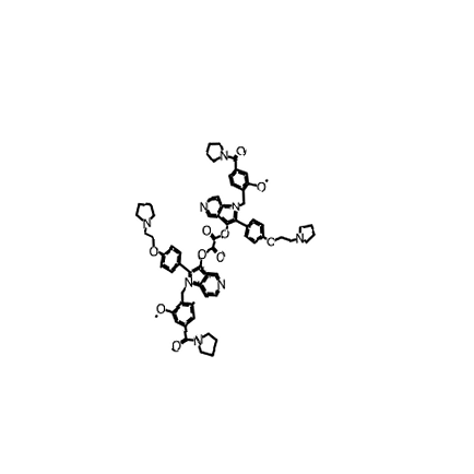 COc1cc(C(=O)N2CCCC2)ccc1Cn1c(-c2ccc(OCCN3CCCC3)cc2)c(OC(=O)C(=O)Oc2c(-c3ccc(OCCN4CCCC4)cc3)n(Cc3ccc(C(=O)N4CCCC4)cc3OC)c3ccncc23)c2cnccc21